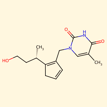 Cc1cn(CC2=C([C@@H](C)CCO)CC=C2)c(=O)[nH]c1=O